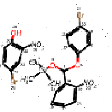 CC(C)(C)[Si](C)(C)OC(Oc1ccc(Br)cc1)c1ccccc1[N+](=O)[O-].O=[N+]([O-])c1cc(Br)ccc1O